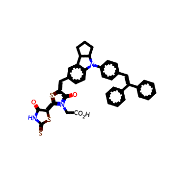 O=C(O)Cn1c(=O)/c(=C\c2ccc3c(c2)C2CCCC2N3c2ccc(C=C(c3ccccc3)c3ccccc3)cc2)s/c1=C1/SC(=S)NC1=O